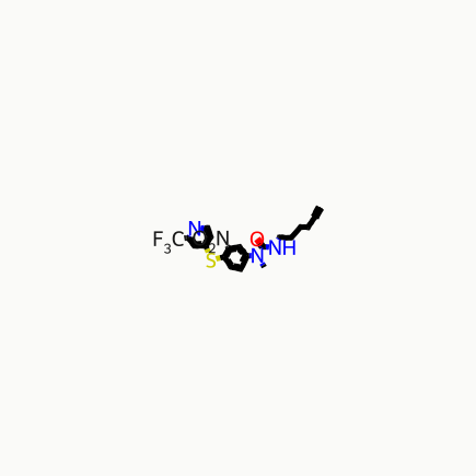 C#CCCCCNC(=O)N(C)c1ccc(Sc2ccnc(C(F)(F)F)c2)c([N+](=O)[O-])c1